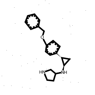 c1ccc(COc2ccc([C@@H]3C[C@H]3NC3CCNC3)cc2)cc1